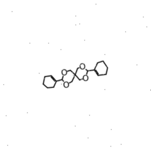 C1=C(C2OCC3(CO2)COC(C2=CCCCC2)OC3)CCCC1